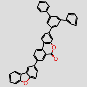 O=c1oc2cc(-c3cc(-c4ccccc4)cc(-c4ccccc4)c3)ccc2c2ccc(-c3ccc4oc5ccccc5c4c3)cc12